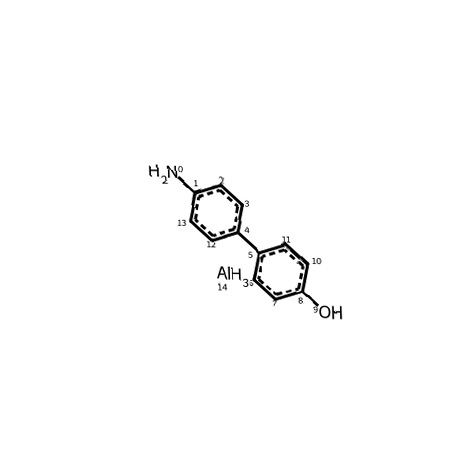 Nc1ccc(-c2ccc(O)cc2)cc1.[AlH3]